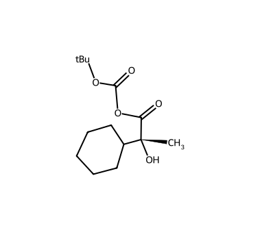 CC(C)(C)OC(=O)OC(=O)[C@](C)(O)C1CCCCC1